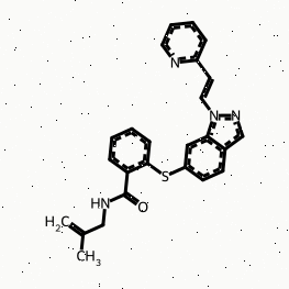 C=C(C)CNC(=O)c1ccccc1Sc1ccc2cnn(C=Cc3ccccn3)c2c1